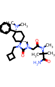 CN(C(=O)CN1C[C@]2(CC[C@@](c3ccccc3)(N(C)C)CC2)N(CC2CCC2)C1=O)C(C)(C)C(N)=O